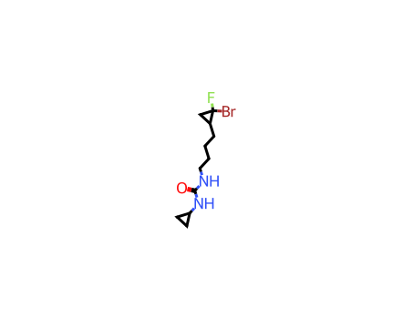 O=C(NCCCCC1CC1(F)Br)NC1CC1